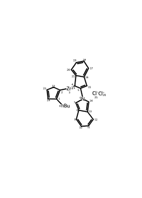 CCCCC1=[C]([Zr+2][CH]2C(n3cc4ccccc4c3)=Cc3ccccc32)CC=C1.[Cl-].[Cl-]